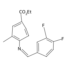 CCOC(=O)c1ccc(/N=C\c2ccc(F)c(F)c2)c(C)c1